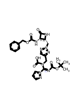 CC(C)(C)OC(=O)/N=C(\N(Cc1cnn(C[C@H]2NC(=O)[C@H]2NC(=O)OCc2ccccc2)n1)C(=O)O)n1cccn1